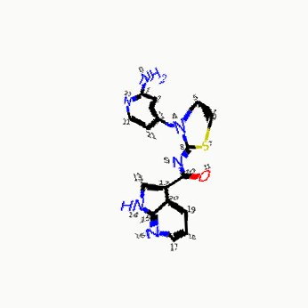 Nc1cc(-n2ccs/c2=N\C(=O)c2c[nH]c3ncccc23)ccn1